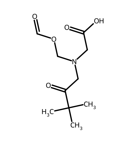 CC(C)(C)C(=O)CN(COC=O)CC(=O)O